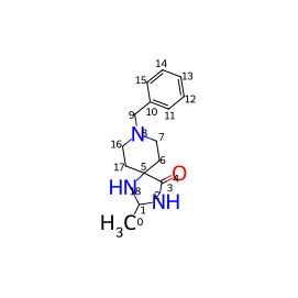 CC1NC(=O)C2(CCN(Cc3ccccc3)CC2)N1